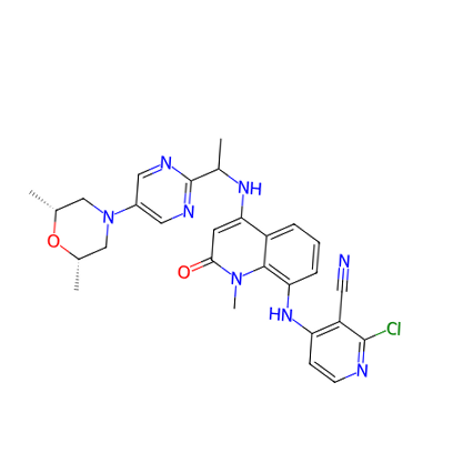 CC(Nc1cc(=O)n(C)c2c(Nc3ccnc(Cl)c3C#N)cccc12)c1ncc(N2C[C@@H](C)O[C@@H](C)C2)cn1